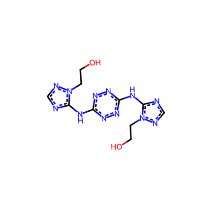 OCCn1ncnc1Nc1nnc(Nc2ncnn2CCO)nn1